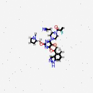 C=C(F)C(=O)N1CCN(c2nc(OC[C@@H]3CCCN3C)nc3c2O[C@H](C)C(c2c(C)ccc4[nH]ncc24)O3)C[C@@H]1CC#N